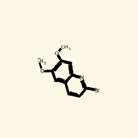 COc1cc2ccc(Br)nc2cc1OC